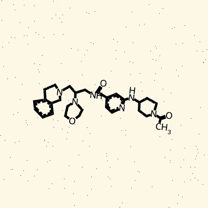 CC(=O)N1CCC(Nc2cc(C(=O)NCC(CN3CCc4ccccc4C3)N3CCOCC3)ccn2)CC1